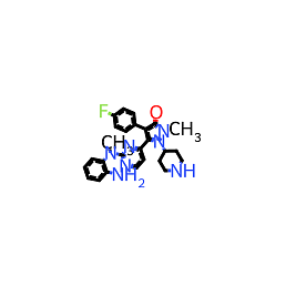 CN(c1nccc(-c2c(-c3ccc(F)cc3)c(=O)n(C)n2C2CCNCC2)n1)c1ccccc1N